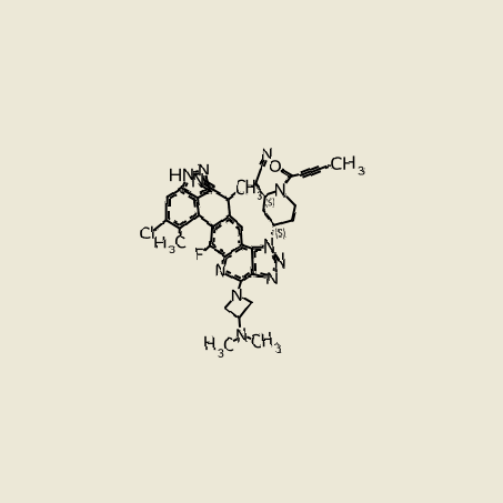 CC#CC(=O)N1CC[C@H](n2nnc3c(N4CC(N(C)C)C4)nc4c(F)c(-c5c(C)c(Cl)cc6[nH]ncc56)c(C(C)C#N)cc4c32)C[C@H]1CC#N